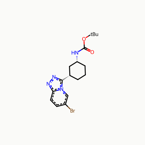 CC(C)(C)OC(=O)N[C@@H]1CCC[C@H](c2nnc3ccc(Br)cn23)C1